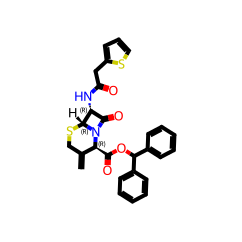 C=C1CS[C@@H]2[C@H](NC(=O)Cc3cccs3)C(=O)N2[C@H]1C(=O)OC(c1ccccc1)c1ccccc1